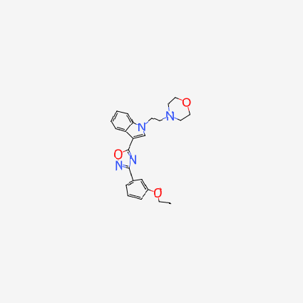 CCOc1cccc(-c2noc(-c3cn(CCN4CCOCC4)c4ccccc34)n2)c1